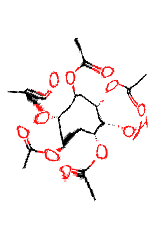 CC(=O)O[C@@H]1[C@@H](OC(C)=O)[C@H](OC(C)=O)[C@H](O)[C@H](OC(C)=O)[C@H]1OC(C)=O